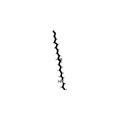 CCCCCCCCCCCCCCCCCCNCCC.F